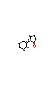 O=C1CCCC1C1CCCCC1